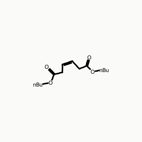 CCCCOC(=O)C/C=C\CC(=O)OCCCC